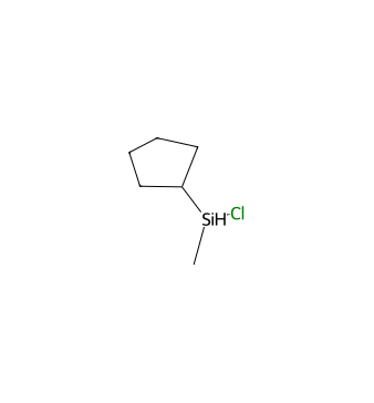 C[SiH](Cl)C1CCCC1